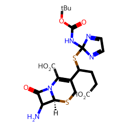 CC(C)(C)OC(=O)NC1(SC(CCC(=O)O)C2=C(C(=O)O)N3C(=O)C(N)[C@@H]3SC2)N=CC=N1